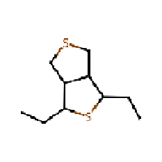 CCC1SC(CC)C2CSCC12